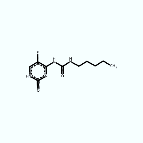 CCCCCNC(=O)Nc1nc(=O)[nH]cc1F